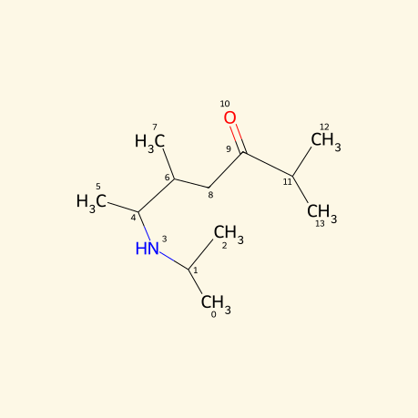 CC(C)NC(C)C(C)CC(=O)C(C)C